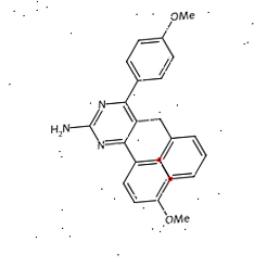 COc1ccc(-c2nc(N)nc(-c3ccc(OC)cc3)c2Cc2ccccc2)cc1